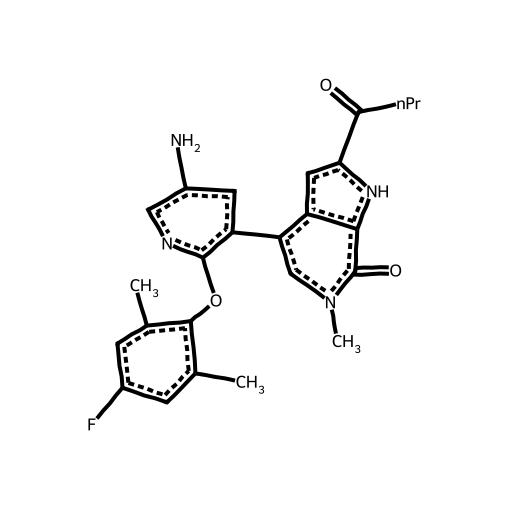 CCCC(=O)c1cc2c(-c3cc(N)cnc3Oc3c(C)cc(F)cc3C)cn(C)c(=O)c2[nH]1